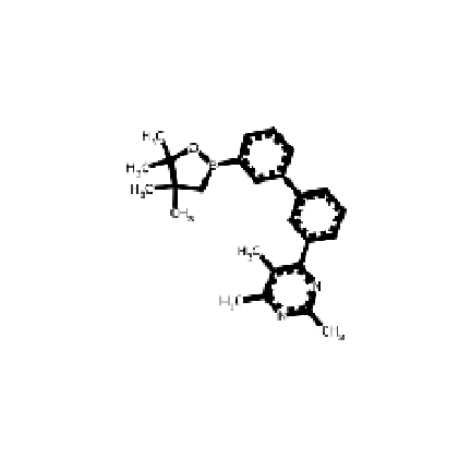 Cc1nc(C)c(C)c(-c2cccc(-c3cccc(B4CC(C)(C)C(C)(C)O4)c3)c2)n1